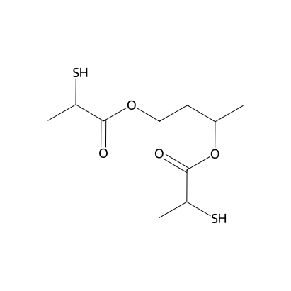 CC(CCOC(=O)C(C)S)OC(=O)C(C)S